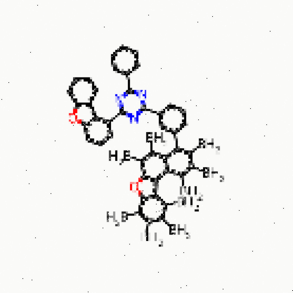 Bc1c(B)c(B)c2c(oc3c(B)c(B)c4c(-c5cccc(-c6nc(-c7ccccc7)nc(-c7cccc8oc9ccccc9c78)n6)c5)c(B)c(B)c(B)c4c32)c1B